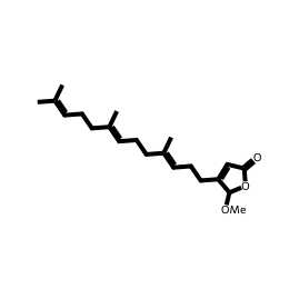 COC1OC(=O)C=C1CC/C=C(\C)CC/C=C(\C)CCC=C(C)C